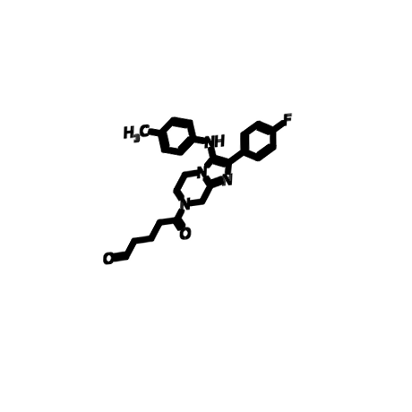 Cc1ccc(Nc2c(-c3ccc(F)cc3)nc3n2CCN(C(=O)CCCC=O)C3)cc1